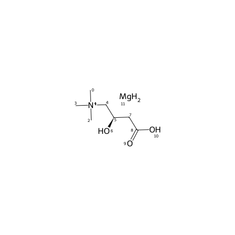 C[N+](C)(C)C[C@H](O)CC(=O)O.[MgH2]